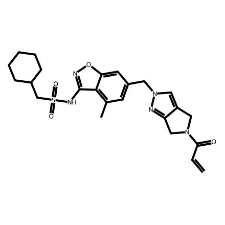 C=CC(=O)N1Cc2cn(Cc3cc(C)c4c(NS(=O)(=O)CC5CCCCC5)noc4c3)nc2C1